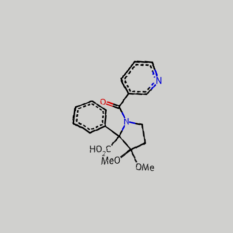 COC1(OC)CCN(C(=O)c2cccnc2)C1(C(=O)O)c1ccccc1